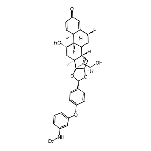 CCNc1cccc(Oc2ccc([C@@H]3O[C@@H]4C[C@H]5[C@@H]6C[C@H](F)C7=CC(=O)C=C[C@]7(C)[C@@]6(F)[C@@H](O)C[C@]5(C)[C@]4(C(=O)CO)O3)cc2)c1